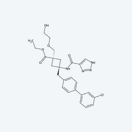 CCOC(=O)[C@]1(COCCO)C[C@@](Cc2ccc(-c3cccc(Cl)c3)cc2)(NC(=O)c2c[nH]nn2)C1